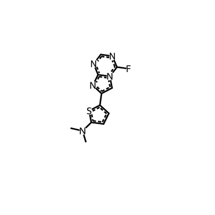 CN(C)c1ccc(-c2cn3c(F)ncnc3n2)s1